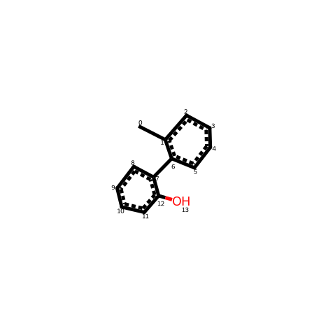 Cc1ccccc1-c1ccccc1O